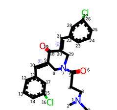 CN(C)CCC(=O)N1C/C(=C\c2cccc(Cl)c2)C(=O)/C(=C/c2cccc(Cl)c2)C1